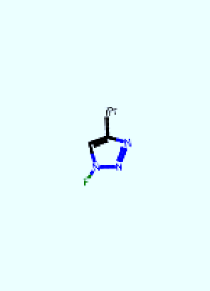 CC(C)c1cn(F)nn1